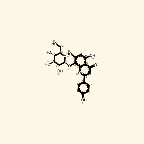 O=c1cc(-c2ccc(O)cc2)oc2c(O[C@@H]3O[C@H](CO)[C@@H](O)[C@H](O)[C@H]3O)c(O)cc(O)c12